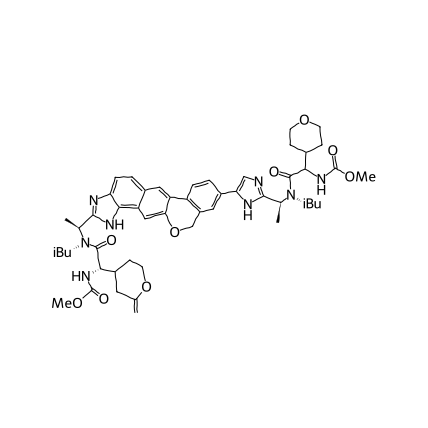 C=C1CC([C@H](NC(=O)OC)C(=O)N([C@@H](C)CC)[C@@H](C)c2nc3ccc4cc5c(cc4c3[nH]2)OCc2cc(-c3cnc([C@H](C)N(C(=O)C(NC(=O)OC)C4CCOCC4)[C@@H](C)CC)[nH]3)ccc2-5)CCO1